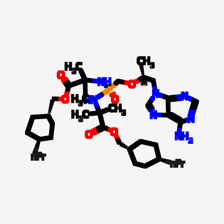 CCC[C@H]1CC[C@H](COC(=O)C(C)(C)NP(=O)(CO[C@H](C)Cn2cnc3c(N)ncnc32)NC(C)(C)C(=O)OC[C@H]2CC[C@H](CCC)CC2)CC1